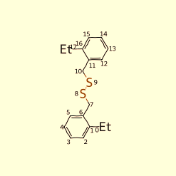 CCc1ccccc1CSSCc1ccccc1CC